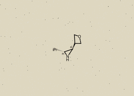 CC(C)[C@H]1N[C@@H]1C1COC1